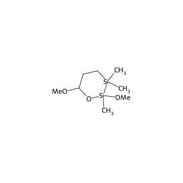 COC1CC[Si](C)(C)[Si](C)(OC)O1